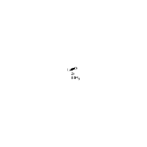 [BaH2].[O]=[La].[Zr]